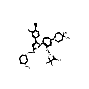 COc1cc(N2CCC(C)(O)CC2)ccc1-n1nc(NC[C@H]2CCC[C@H](N)C2)cc1-c1ccc(C#N)c(F)c1.O=C(O)C(F)(F)F